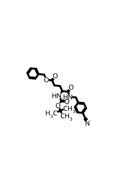 CC(C)(C)OC(=O)NC(CCC(=O)OCc1ccccc1)C(=O)NCc1ccc(C#N)cc1